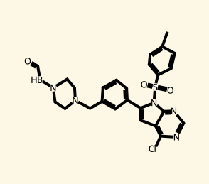 Cc1ccc(S(=O)(=O)n2c(-c3cccc(CN4CCN(BC=O)CC4)c3)cc3c(Cl)ncnc32)cc1